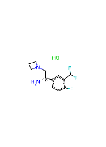 Cl.N[C@H](CN1CCC1)c1ccc(F)c(C(F)F)c1